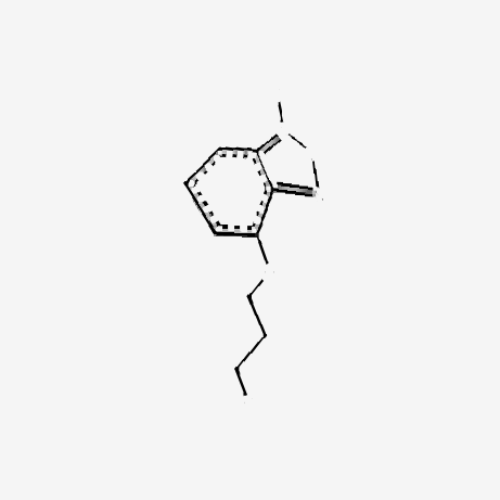 CCCCOc1cccc2c1=NSS=2Cl